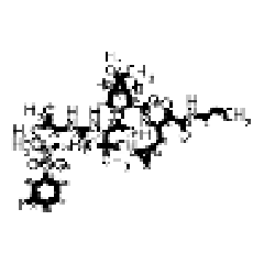 C=CCNC(=O)C(=O)C(CC1CC1)NC(=O)[C@@H]1[C@@H]2[C@H](CN1C(=O)[C@@H](NC(=O)N[C@H](CN(C)S(=O)(=O)c1cccc(F)c1)C(=C)C)C(C)(C)C)C2(C)C